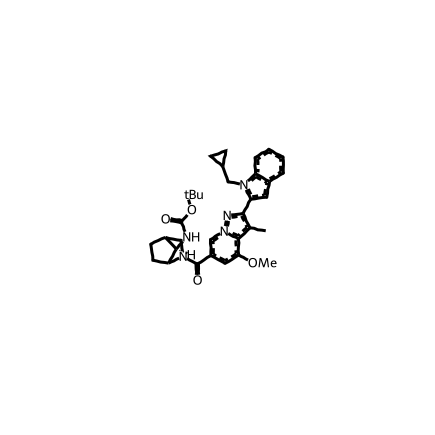 COc1cc(C(=O)N2CC3CCC2[C@@H]3NC(=O)OC(C)(C)C)cn2nc(-c3cc4ccccc4n3CC3CC3)c(C)c12